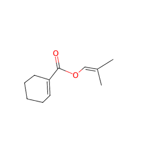 CC(C)=COC(=O)C1=CCCCC1